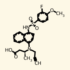 C#CCN(c1ccc(NS(=O)(=O)c2ccc(OC)c(F)c2)c2ccccc12)[C@@H](C)CC(=O)O